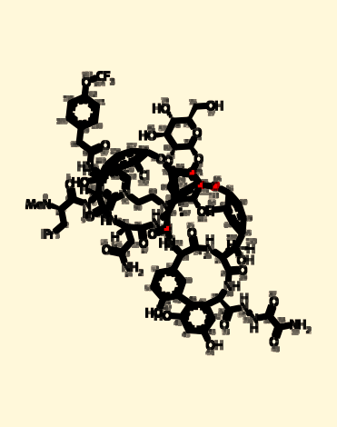 CN[C@H](CC(C)C)C(=O)N[C@H]1C(=O)N[C@@H](CC(N)=O)C(=O)N[C@H]2C(=O)N[C@H]3C(=O)N[C@H](C(=O)N[C@@H](C(=O)NNC(=O)C(N)=O)c4cc(O)cc(O)c4-c4cc3ccc4O)[C@H](O)c3ccc(c(Cl)c3)Oc3cc2cc(c3O[C@@H]2O[C@H](CO)[C@@H](O)[C@H](O)[C@H]2O[C@H]2C[C@](C)(NCCn3ccc(NC(=O)Cc4ccc(OC(F)(F)F)cc4)nc3=O)[C@H](O)[C@H](C)O2)Oc2ccc(cc2Cl)[C@H]1O